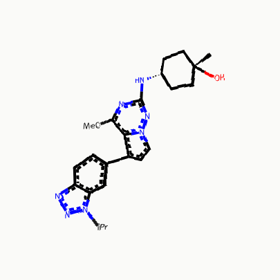 COc1nc(N[C@H]2CC[C@@](C)(O)CC2)nn2ccc(-c3ccc4nnn(C(C)C)c4c3)c12